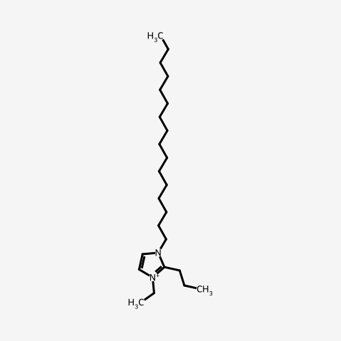 CCCCCCCCCCCCCCCCn1cc[n+](CC)c1CCC